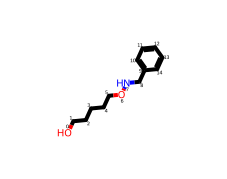 OCCCCCONCc1ccccc1